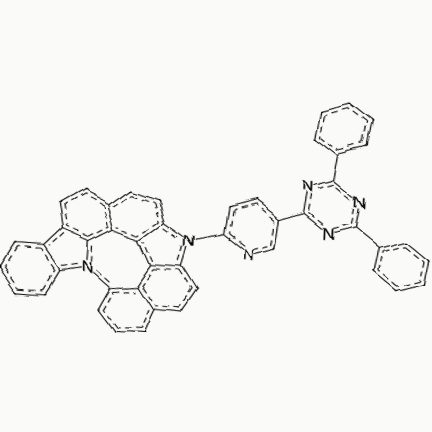 c1ccc(-c2nc(-c3ccccc3)nc(-c3ccc(-n4c5ccc6cccc7c6c5c5c6c(ccc8c9ccccc9n7c86)ccc54)nc3)n2)cc1